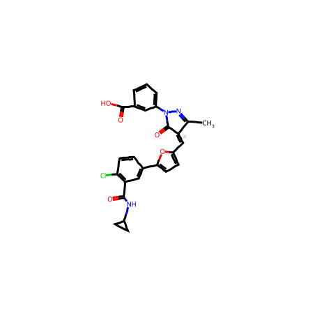 CC1=NN(c2cccc(C(=O)O)c2)C(=O)/C1=C\c1ccc(-c2ccc(Cl)c(C(=O)NC3CC3)c2)o1